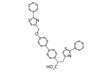 O=C(O)C(Cc1csc(-c2ccccc2)n1)c1ccc(-c2ccc(OCc3csc(-c4ccccc4)n3)cc2)cc1